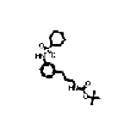 CC(C)(C)OC(=O)NCCCc1cccc(NS(=O)(=O)C2CCCCC2)c1